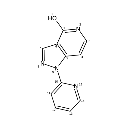 Oc1nccc2c1cnn2-c1ccccn1